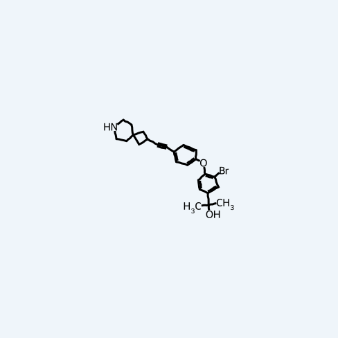 CC(C)(O)c1ccc(Oc2ccc(C#CC3CC4(CCNCC4)C3)cc2)c(Br)c1